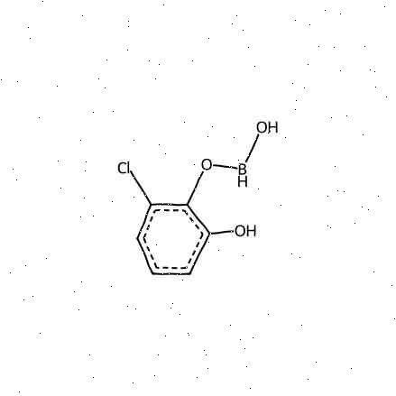 OBOc1c(O)cccc1Cl